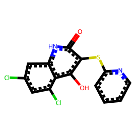 O=c1[nH]c2cc(Cl)cc(Cl)c2c(O)c1Sc1ccccn1